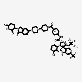 CC(C)(C)C[C@@H]1N[C@@H](C(=O)NC23CCC(C(=O)N4CCC(N5CCN(c6ccc7c(c6)CN(C6CCC(=O)NC6=O)C7=O)CC5)CC4)(CC2)CC3)[C@H](c2cccc(Cl)c2F)[C@]12CNc1cc(C(F)(F)F)ncc12